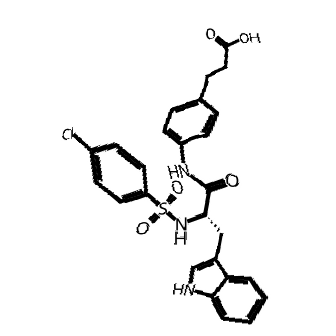 O=C(O)CCc1ccc(NC(=O)[C@H](Cc2c[nH]c3ccccc23)NS(=O)(=O)c2ccc(Cl)cc2)cc1